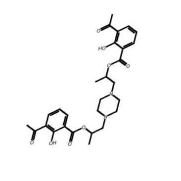 CC(=O)c1cccc(C(=O)OC(C)CN2CCN(CC(C)OC(=O)c3cccc(C(C)=O)c3O)CC2)c1O